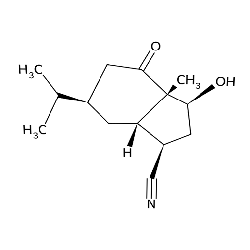 CC(C)[C@H]1CC(=O)[C@]2(C)[C@@H](O)C[C@@H](C#N)[C@@H]2C1